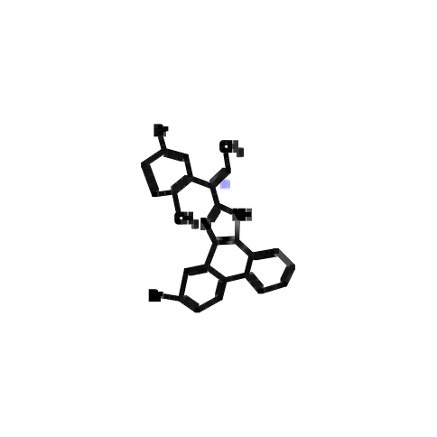 C/C=C(/c1nc2c3cc(Br)ccc3c3ccccc3c2[nH]1)c1cc(Br)ccc1C